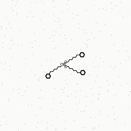 c1ccc(CCCCCCOB(OCCCCCCc2ccccc2)OCCCCCCc2ccccc2)cc1